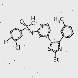 CCc1nc(-c2cccc(C)c2)c(-c2ccnc(N=S(C)(=O)c3ccc(F)c(Cl)c3)c2)s1